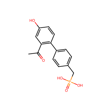 CC(=O)c1cc(O)ccc1-c1ccc(CP(=O)(O)O)cc1